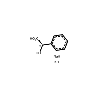 O=C(O)[C@H](O)c1ccccc1.[KH].[NaH]